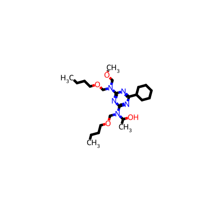 CCCCOCN(COC)c1nc(C2CCCCC2)nc(N(COCCCC)C(C)O)n1